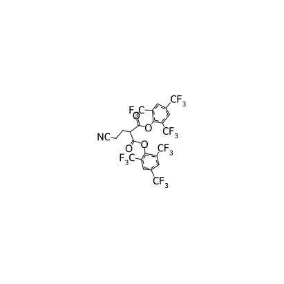 N#CCCC(C(=O)Oc1c(C(F)(F)F)cc(C(F)(F)F)cc1C(F)(F)F)C(=O)Oc1c(C(F)(F)F)cc(C(F)(F)F)cc1C(F)(F)F